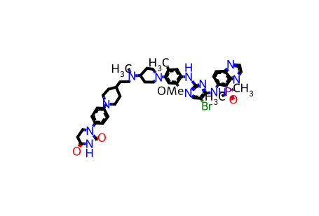 COc1cc(N2CCC(N(C)CCC3CCN(c4ccc(N5CCC(=O)NC5=O)cc4)CC3)CC2)c(C)cc1Nc1ncc(Br)c(Nc2ccc3nccnc3c2P(C)(C)=O)n1